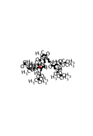 CC(CNC(=O)OC(C)(C)C)C(=O)N(CCNC(=O)C(CNC(=O)OC(C)(C)C)CNC(=O)OC(C)(C)C)CCNC(=O)C(CNC(=O)OC(C)(C)C)CNC(=O)OC(C)(C)CNC(=O)O